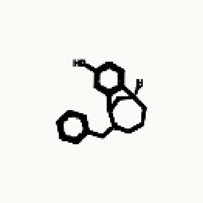 Oc1ccc2c(c1)C1C[C@@H]2CCCN1Cc1ccccc1